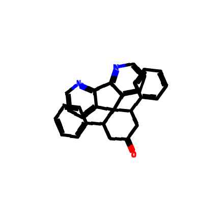 O=C1CC(c2ccccc2)C2(c3cccnc3-c3ncccc32)C(c2ccccc2)C1